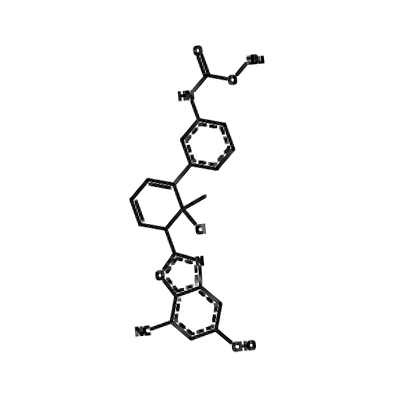 CC(C)(C)OC(=O)Nc1cccc(C2=CC=CC(c3nc4cc(C=O)cc(C#N)c4o3)C2(C)Cl)c1